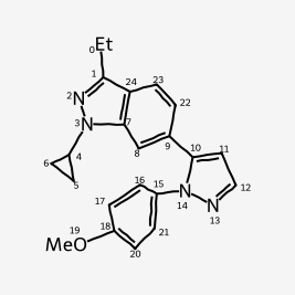 CCc1nn(C2CC2)c2cc(-c3ccnn3-c3ccc(OC)cc3)ccc12